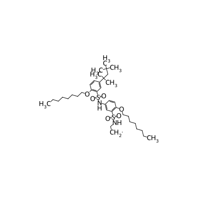 [CH2]CNS(=O)(=O)c1cc(NS(=O)(=O)c2cc(C(C)(C)CC(C)(C)C)ccc2OCCCCCCCC)ccc1OCCCCCCCC